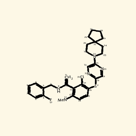 C=C(NCc1ccccc1F)c1c(NC)ccc(Sc2cnc(N3CCC4(CCCC4)CC3)cn2)c1Cl